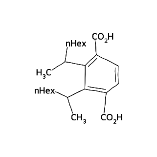 CCCCCCC(C)c1c(C(=O)O)ccc(C(=O)O)c1C(C)CCCCCC